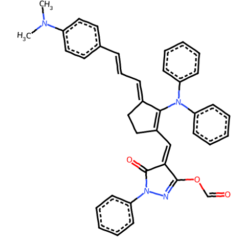 CN(C)c1ccc(/C=C/C=C2\CCC(/C=C3\C(=O)N(c4ccccc4)N=C3OC=O)=C2N(c2ccccc2)c2ccccc2)cc1